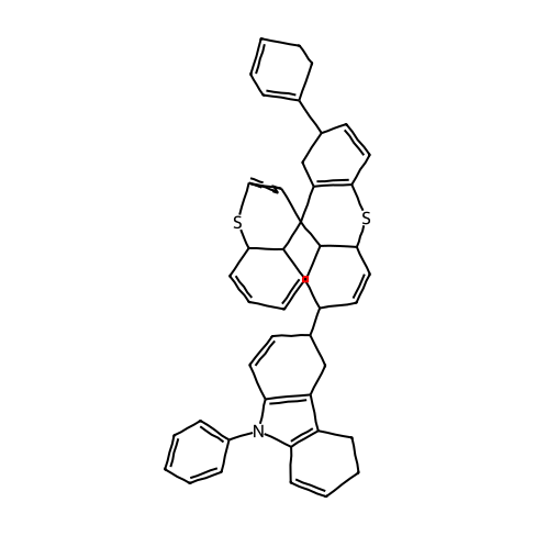 C1=CCCC(C2C=CC3=C(C2)C2(C4=CCCC=C4SC4C=CC=CC42)C2CC(C4C=Cc5c(c6c(n5-c5ccccc5)C=CCC6)C4)C=CC2S3)=C1